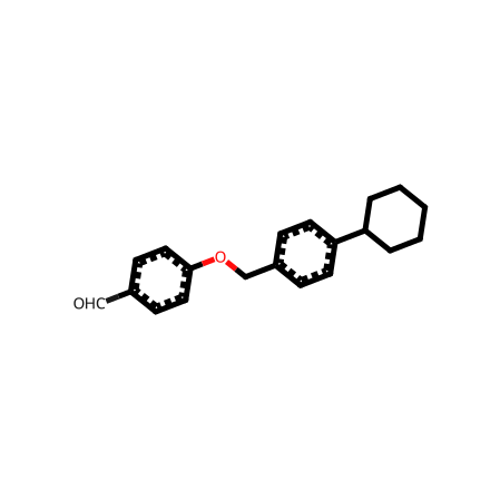 O=Cc1ccc(OCc2ccc(C3CCCCC3)cc2)cc1